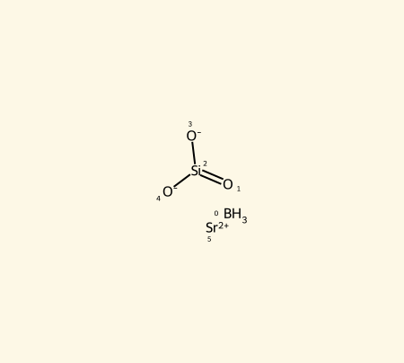 B.O=[Si]([O-])[O-].[Sr+2]